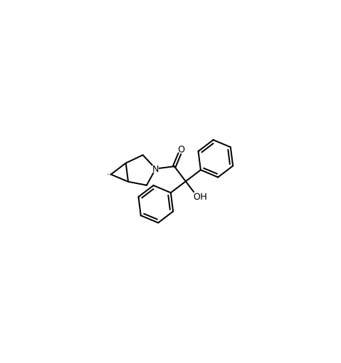 O=C(N1CC2[CH]C2C1)C(O)(c1ccccc1)c1ccccc1